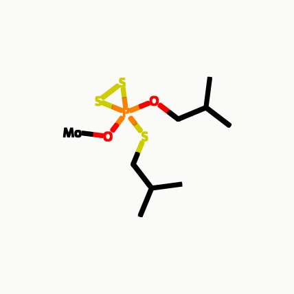 CC(C)COP1([O][Mo])(SCC(C)C)SS1